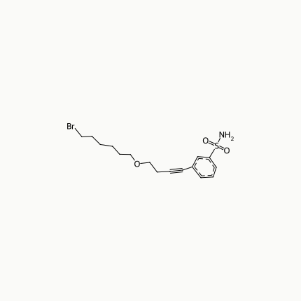 NS(=O)(=O)c1cccc(C#CCCOCCCCCCBr)c1